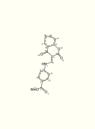 COC(=O)c1ccc(NC=C2C(=O)Oc3ccccc3C2=O)cc1